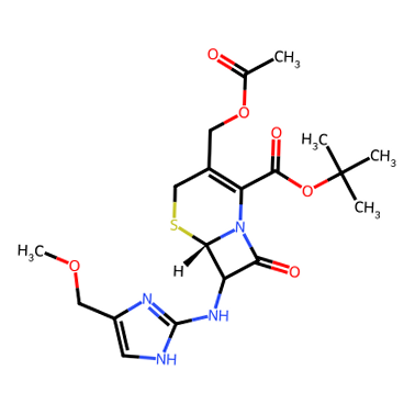 COCc1c[nH]c(NC2C(=O)N3C(C(=O)OC(C)(C)C)=C(COC(C)=O)CS[C@@H]23)n1